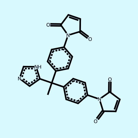 CC(c1ccc(N2C(=O)C=CC2=O)cc1)(c1ccc(N2C(=O)C=CC2=O)cc1)c1cnc[nH]1